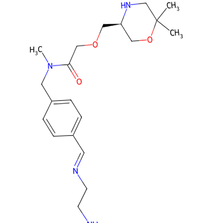 CN(Cc1ccc(/C=N/CCN)cc1)C(=O)COC[C@@H]1COC(C)(C)CN1